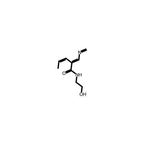 C=N/C=C(\C=C/C)C(=O)NCCO